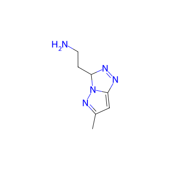 Cc1cc2n(n1)C(CCN)N=N2